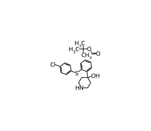 CC(C)(C)OC=O.OC1(c2ccccc2Sc2ccc(Cl)cc2)CCNCC1